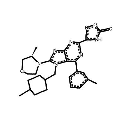 Cc1cccc(-c2nc(-c3noc(=O)[nH]3)nc3nc(N4CCOC[C@H]4C)n(CC4CCC(C)CC4)c23)c1